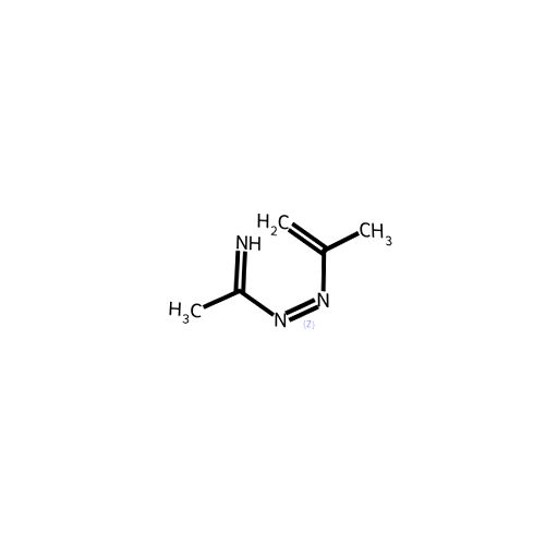 C=C(C)/N=N\C(C)=N